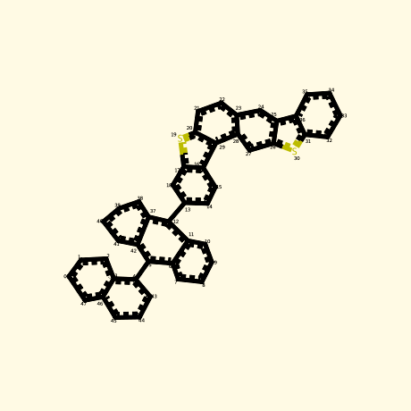 c1ccc2c(-c3c4ccccc4c(-c4ccc5c(c4)sc4ccc6cc7c(cc6c45)sc4ccccc47)c4ccccc34)cccc2c1